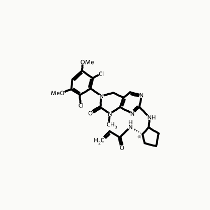 C=CC(=O)N[C@H]1CCCC1Nc1ncc2c(n1)N(C)C(=O)N(c1c(Cl)c(OC)cc(OC)c1Cl)C2